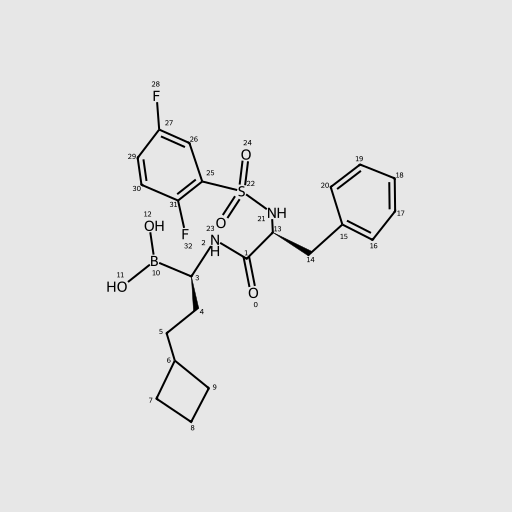 O=C(N[C@@H](CCC1CCC1)B(O)O)[C@H](Cc1ccccc1)NS(=O)(=O)c1cc(F)ccc1F